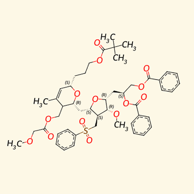 COCC(=O)OCC1C(C)=C[C@H](CCCOC(=O)C(C)(C)C)O[C@@H]1C[C@@H]1O[C@H](C[C@@H](COC(=O)c2ccccc2)OC(=O)c2ccccc2)[C@H](OC)[C@H]1CS(=O)(=O)c1ccccc1